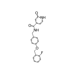 O=C(NCc1ccc(OCc2ccccc2F)cc1)c1cc[nH]c(=O)c1